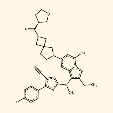 CCc1nn2c(C)cc(N3CCC4(CN(C(=O)[C@H]5CCOC5)C4)C3)cc2c1N(C)c1nc(-c2ccc(F)cc2)c(C#N)s1